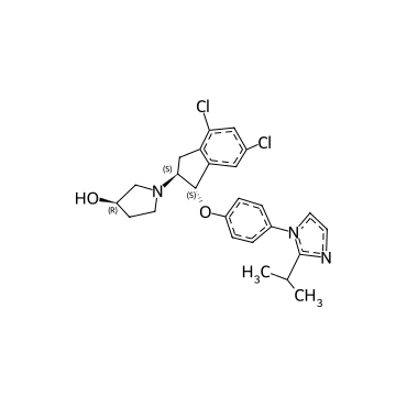 CC(C)c1nccn1-c1ccc(O[C@H]2c3cc(Cl)cc(Cl)c3C[C@@H]2N2CC[C@@H](O)C2)cc1